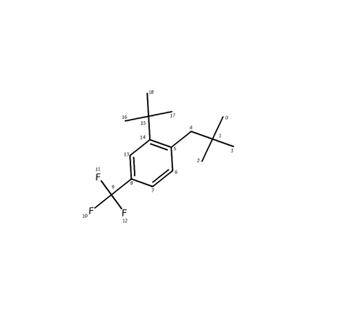 CC(C)(C)Cc1ccc(C(F)(F)F)cc1C(C)(C)C